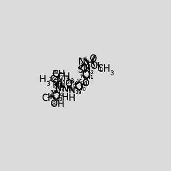 CCOC(=O)c1cnc2sc3cc(Oc4ccc(NC(=O)Nc5cc(C(C)(C)C)nn5-c5ccc(O)c(Cl)c5)cc4)ccc3n12